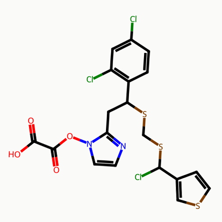 O=C(O)C(=O)On1ccnc1CC(SCSC(Cl)c1ccsc1)c1ccc(Cl)cc1Cl